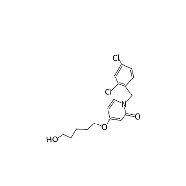 O=c1cc(OCCCCCO)ccn1Cc1ccc(Cl)cc1Cl